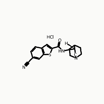 Cl.N#Cc1ccc2cc(C(=O)N[C@H]3CN4CCC3CC4)sc2c1